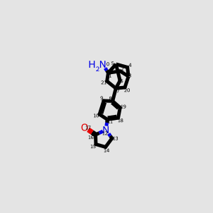 NC12CC3CC1CC(c1ccc(N4CCCC4=O)cc1)(C3)C2